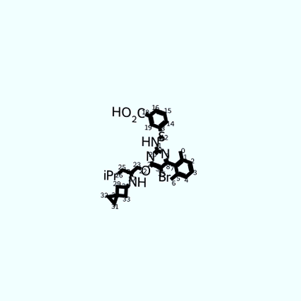 Cc1cccc(C)c1-c1nc(NSc2cccc(C(=O)O)c2)nc(OCC(CC(C)C)NC2CC3(CC3)C2)c1Br